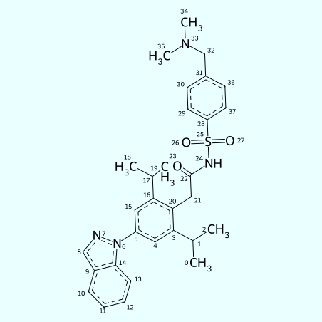 CC(C)c1cc(-n2ncc3ccccc32)cc(C(C)C)c1CC(=O)NS(=O)(=O)c1ccc(CN(C)C)cc1